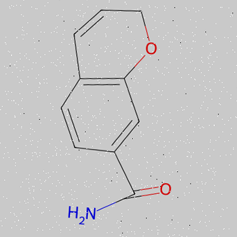 NC(=O)c1ccc2c(c1)OCC=C2